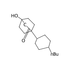 CCCCC1CCC(C23CCC(O)(CC2)CC3=O)CC1